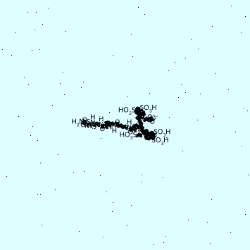 CC1(C)C(/C=C/C(=C/C=C2/N(CCCS(=O)(=O)O)c3ccc4c(S(=O)(=O)O)cc(S(=O)(=O)O)cc4c3C2(C)C)c2ccc(C(=O)NCCCCCC(=O)NCc3ccc(C(=O)NCCC(=O)Nc4nnc(S(N)(=O)=O)s4)cn3)cn2)=[N+](CCCS(=O)(=O)[O-])c2ccc3c(S(=O)(=O)O)cc(S(=O)(=O)O)cc3c21